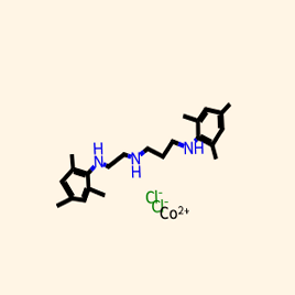 Cc1cc(C)c(NCCCNCCNc2c(C)cc(C)cc2C)c(C)c1.[Cl-].[Cl-].[Co+2]